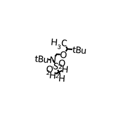 [2H]C([2H])([2H])S(=O)(=O)N(COC(C)C(C)(C)C)C(C)(C)C